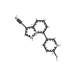 N#Cc1cnn2c(-c3ccc(F)nc3)cccc12